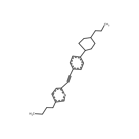 CCCCc1ccc(C#Cc2ccc(C3CCC(CCC)CC3)cc2)nc1